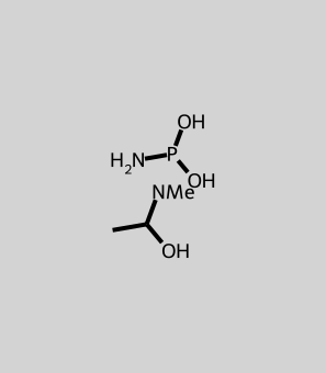 CNC(C)O.NP(O)O